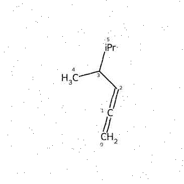 C=C=CC(C)[C](C)C